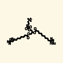 CCCCC1(CCCCCCCCC(=O)OCC(COP(=O)([O-])OCC[N+](C)(C)C)OC(=O)CCCCCCCCC2(CCCC)N=N2)N=N1